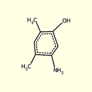 Cc1cc(C)c(O)cc1N